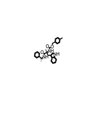 Cc1ccc(COC(=O)N[C@](C)(Cc2c[nH]c3ccccc23)C(=O)N[C@H](C)c2ccccc2)cc1